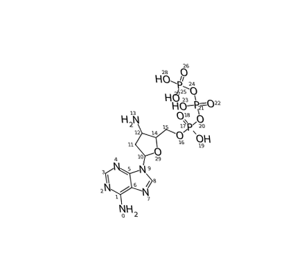 Nc1ncnc2c1ncn2C1CC(N)C(COP(=O)(O)OP(=O)(O)OP(=O)(O)O)O1